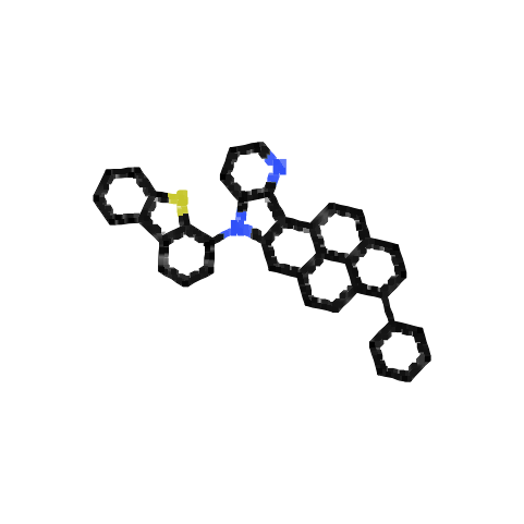 c1ccc(-c2ccc3ccc4c5c(ccc2c35)cc2c4c3ncccc3n2-c2cccc3c2sc2ccccc23)cc1